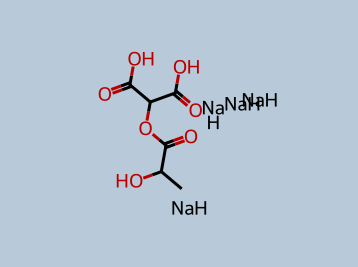 CC(O)C(=O)OC(C(=O)O)C(=O)O.[NaH].[NaH].[NaH].[NaH]